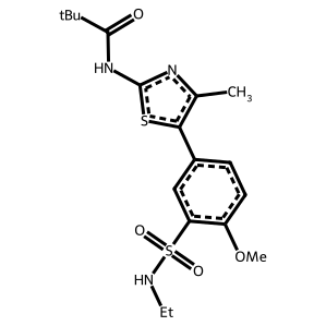 CCNS(=O)(=O)c1cc(-c2sc(NC(=O)C(C)(C)C)nc2C)ccc1OC